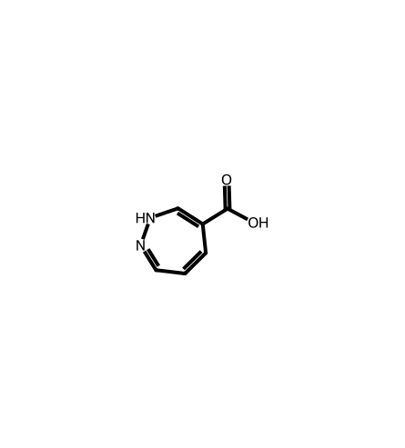 O=C(O)C1=CNN=CC=C1